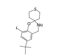 CC(C)(C)c1cc(I)c2c(c1)CNC1(CCSCC1)O2